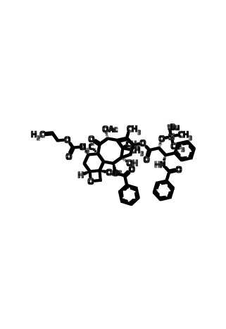 C=CCOC(=O)O[C@H]1C[C@H]2OC[C@@]2(OC(C)=O)C2[C@H](OC(=O)c3ccccc3)[C@]3(O)C[C@H](OC(=O)[C@H](O[Si](C)(C)C(C)(C)C)[C@@H](NC(=O)c4ccccc4)c4ccccc4)C(C)=C([C@@H](OC(C)=O)C(=O)[C@@]21C)C3(C)C